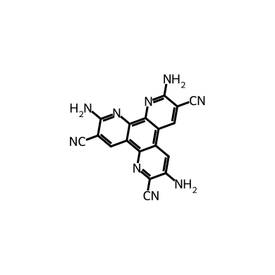 N#Cc1cc2c3cc(N)c(C#N)nc3c3cc(C#N)c(N)nc3c2nc1N